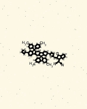 Cc1ccc(C2(c3ccc(C)cc3)c3cc(-c4cccs4)ccc3-c3cc4c(cc32)-c2ccc(-c3ccc(/C=C5\C(=O)c6ccccc6C5=C(C#N)C#N)s3)cc2C4(c2ccc(C)cc2)c2ccc(C)cc2)cc1